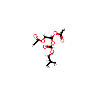 CC(=O)OCC(OC(C)=O)OC(=O)OCC(C)C